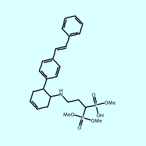 COP(=O)(O)C(CCNC1CC=CCC1c1ccc(C=Cc2ccccc2)cc1)P(=O)(OC)OC